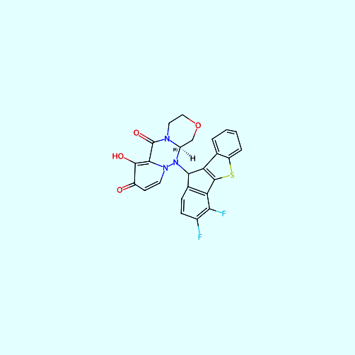 O=C1c2c(O)c(=O)ccn2N(C2c3ccc(F)c(F)c3-c3sc4ccccc4c32)[C@@H]2COCCN12